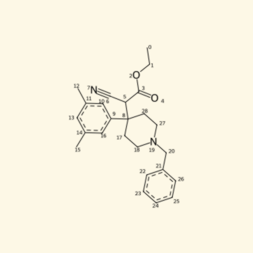 CCOC(=O)C(C#N)C1(c2cc(C)cc(C)c2)CCN(Cc2ccccc2)CC1